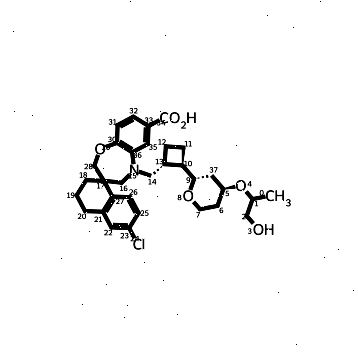 CC(CO)O[C@H]1CCO[C@H]([C@@H]2CC[C@H]2CN2CC3(CCCc4cc(Cl)ccc43)COc3ccc(C(=O)O)cc32)C1